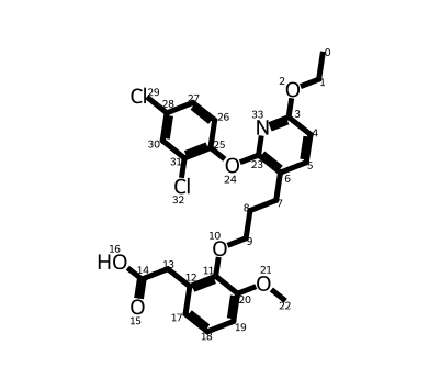 CCOc1ccc(CCCOc2c(CC(=O)O)cccc2OC)c(Oc2ccc(Cl)cc2Cl)n1